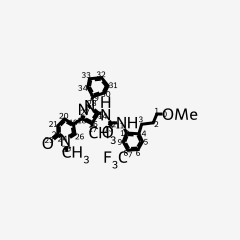 COCCCc1ccc(C(F)(F)F)cc1NC(=O)Nc1c(C)c(-c2ccc(=O)n(C)c2)nn1-c1ccccc1